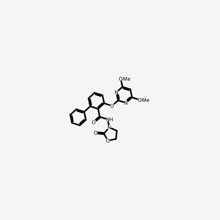 COc1cc(OC)nc(Oc2cccc(-c3ccccc3)c2C(=O)NN2CCOC2=O)n1